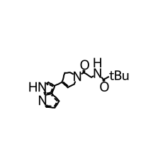 CC(C)(C)C(=O)NCC(=O)N1CC=C(c2c[nH]c3ncccc23)CC1